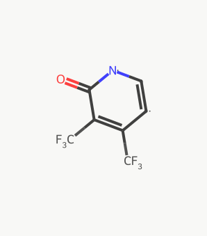 O=C1[N]C=[C]C(C(F)(F)F)=C1C(F)(F)F